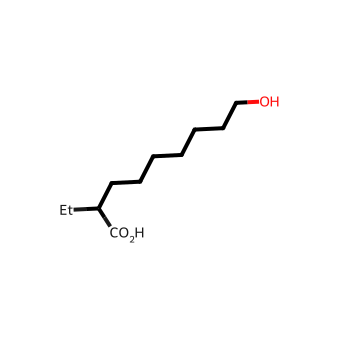 CCC(CCCCCCCO)C(=O)O